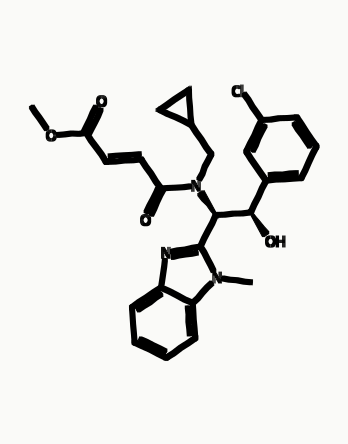 COC(=O)C=CC(=O)N(CC1CC1)[C@H](c1nc2ccccc2n1C)[C@H](O)c1cccc(Cl)c1